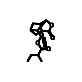 CCC(C)C(=O)OCC1C2CC3C1OC(=O)C3(C#N)C2